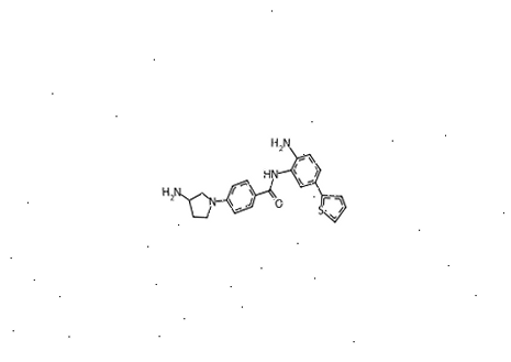 Nc1ccc(-c2cccs2)cc1NC(=O)c1ccc(N2CCC(N)C2)cc1